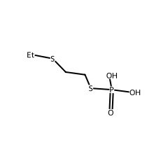 CCSCCSP(=O)(O)O